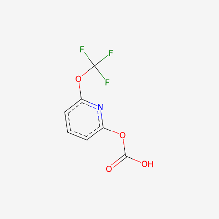 O=C(O)Oc1cccc(OC(F)(F)F)n1